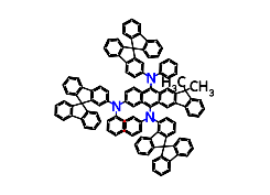 CC1(C)c2ccccc2-c2cc3c(N(c4ccccc4)c4cccc5c4-c4ccccc4C54c5ccccc5-c5ccccc54)c4cc(N(c5ccccc5)c5ccc6c(c5)C5(c7ccccc7-c7ccccc75)c5ccccc5-6)ccc4c(N(c4ccccc4)c4ccc5c(c4)C4(c6ccccc6-c6ccccc64)c4ccccc4-5)c3cc21